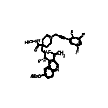 COc1ccc2ncc(N(C)C)c([C@H](F)CCC3(C(=O)NO)CCN(CC#Cc4cc(F)cc(F)c4F)CC3)c2c1